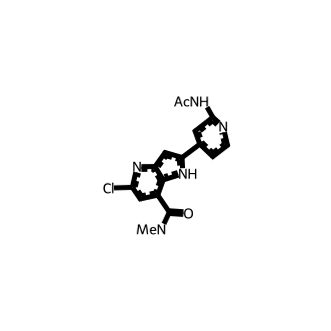 CNC(=O)c1cc(Cl)nc2cc(-c3ccnc(NC(C)=O)c3)[nH]c12